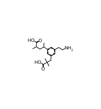 CC(CC(C)c1cc(CCN)cc(CC(C)(C)C(=O)O)c1)C(=O)O